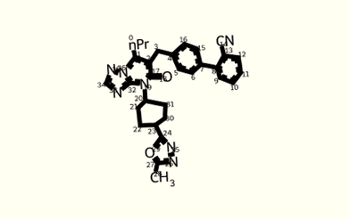 CCCc1c(Cc2ccc(-c3ccccc3C#N)cc2)c(=O)n(C2CCC(c3nnc(C)o3)CC2)c2ncnn12